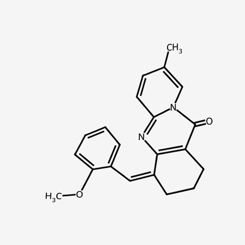 COc1ccccc1/C=C1/CCCc2c1nc1ccc(C)cn1c2=O